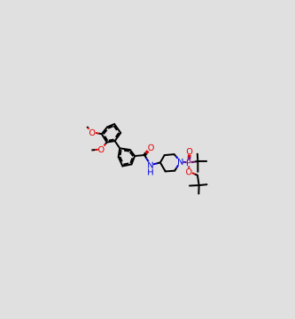 COc1cccc(-c2cccc(C(=O)NC3CCN(P(=O)(OCC(C)(C)C)C(C)(C)C)CC3)c2)c1OC